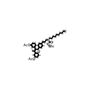 CC(=O)Oc1cccc(C2=C(C)c3cc(OC(C)=O)ccc3OC2c2ccc(C=CCN(CCCCCCCCCF)C(=O)OC(C)(C)C)cc2)c1